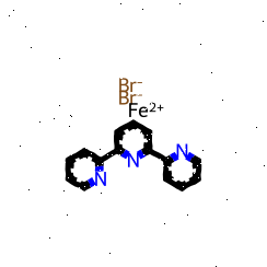 [Br-].[Br-].[Fe+2].c1ccc(-c2cccc(-c3ccccn3)n2)nc1